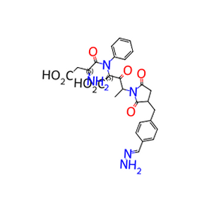 CC(C(=O)[C@@H](C(=O)O)N(C(=O)[C@@H](N)CC(=O)O)c1ccccc1)N1C(=O)CC(Cc2ccc(C=NN)cc2)C1=O